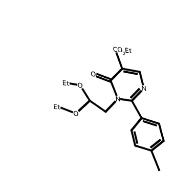 CCOC(=O)c1cnc(-c2ccc(C)cc2)n(CC(OCC)OCC)c1=O